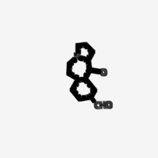 O=Cc1ccc2ccn3cccc3c(=O)c2c1